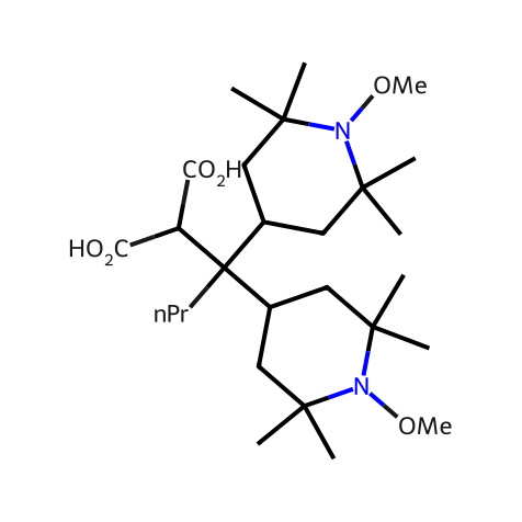 CCCC(C1CC(C)(C)N(OC)C(C)(C)C1)(C1CC(C)(C)N(OC)C(C)(C)C1)C(C(=O)O)C(=O)O